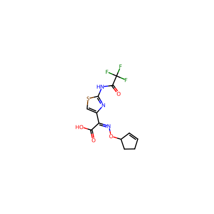 O=C(O)C(=NOC1C=CCC1)c1csc(NC(=O)C(F)(F)F)n1